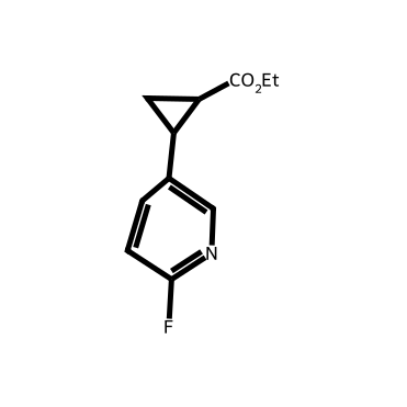 CCOC(=O)C1CC1c1ccc(F)nc1